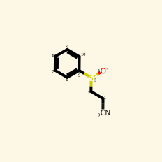 N#CCC[S+]([O-])c1ccccc1